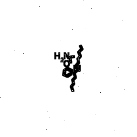 CC(N)COc1ccccc1.CCCCCCCCCCCCCC.I